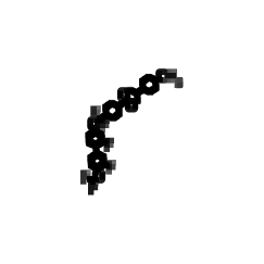 CC1CCC(C2COC(C3CCC(C(F)(F)Oc4ccc(-c5ccc(OC(F)F)c(F)c5)c(F)c4)CC3)OC2)CC1